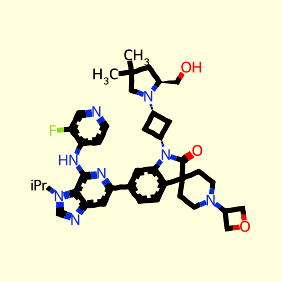 CC(C)n1cnc2cc(-c3ccc4c(c3)N([C@H]3C[C@@H](N5CC(C)(C)C[C@H]5CO)C3)C(=O)C43CCN(C4COC4)CC3)nc(Nc3ccncc3F)c21